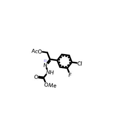 COC(=O)N/N=C(/COC(C)=O)c1ccc(Cl)c(F)c1